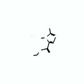 CCOC(=O)c1cnc(N)n1C.Cl